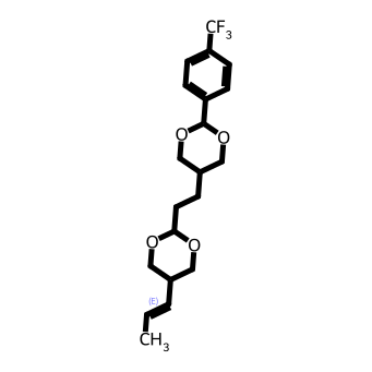 C/C=C/C1COC(CCC2COC(c3ccc(C(F)(F)F)cc3)OC2)OC1